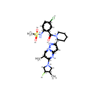 Cc1cn2nc([C@@H]3CCCCN3C(=O)c3cc(Cl)ccc3NS(C)(=O)=O)cc2nc1N1CC(C)C(F)C1